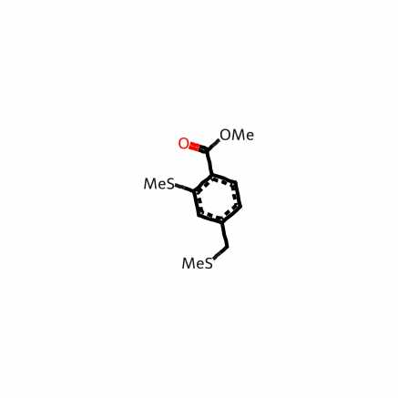 COC(=O)c1ccc(CSC)cc1SC